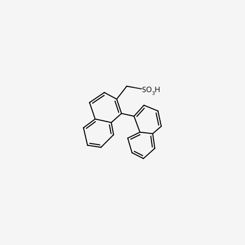 O=S(=O)(O)Cc1ccc2ccccc2c1-c1cccc2ccccc12